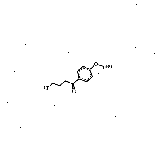 CCCCOc1ccc(C(=O)CCCCl)cc1